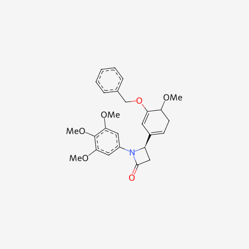 COc1cc(N2C(=O)C[C@@H]2C2=CCC(OC)C(OCc3ccccc3)=C2)cc(OC)c1OC